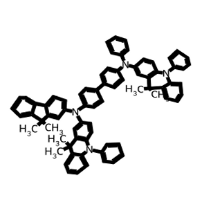 CC1(C)c2ccccc2-c2ccc(N(c3ccc(-c4ccc(N(c5ccccc5)c5ccc6c(c5)C(C)(C)c5ccccc5N6c5ccccc5)cc4)cc3)c3ccc4c(c3)C(C)(C)c3ccccc3N4c3ccccc3)cc21